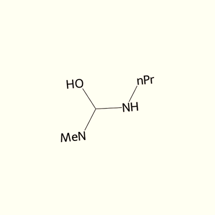 CCCNC(O)NC